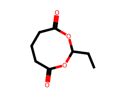 CCC1OC(=O)CCCC(=O)O1